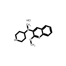 COc1nc2ccccc2cc1N(C)C1CCNCC1.Cl